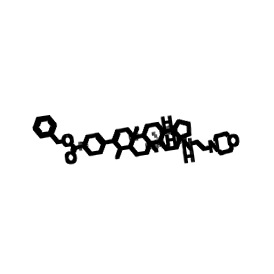 CC1C(C2=CC[C@H](C(=O)OCc3ccccc3)CC2)=CC[C@@]2(C)C1CC[C@]1(C)C2CC[C@@H]2[C@H]3CCC[C@]3(NCCN3CCOCC3)CC[C@]21C